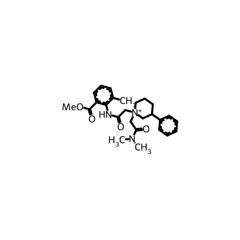 COC(=O)c1cccc(C)c1NC(=O)C[N+]1(CC(=O)N(C)C)CCCC(c2ccccc2)C1